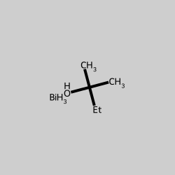 CCC(C)(C)O.[BiH3]